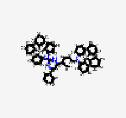 c1ccc(-c2cc(-c3ccc(N4c5ccccc5[Si](c5ccccc5)(c5ccccc5)c5ccccc54)cc3)nc(N3c4ccccc4[Si](c4ccccc4)(c4ccccc4)c4ccccc43)n2)cc1